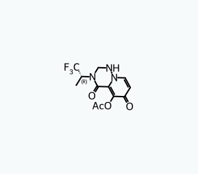 CC(=O)Oc1c2n(ccc1=O)NCN([C@H](C)C(F)(F)F)C2=O